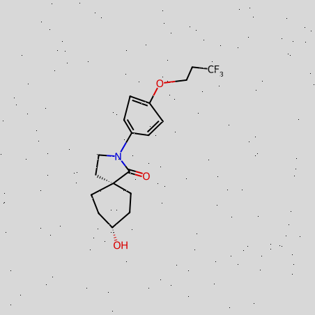 O=C1N(c2ccc(OCCC(F)(F)F)cc2)CC[C@]12CC[C@@H](O)CC2